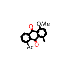 COc1ccc(C)c2c1C(=O)c1cccc(C(C)=O)c1C2=O